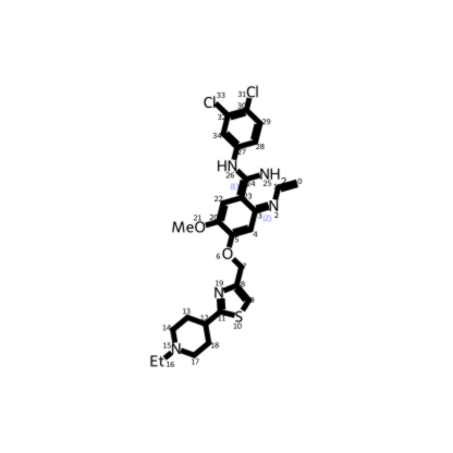 C=C/N=C1/C=C(OCc2csc(C3CCN(CC)CC3)n2)C(OC)=C/C1=C(/N)Nc1ccc(Cl)c(Cl)c1